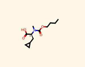 CCCCOC(=O)N(C)[C@@H](CC1CC1)C(=O)O